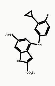 CCOC(=O)c1cc2c(Nc3ccc(F)c(C4CC4)c3)cc(NC(C)=O)cc2[nH]1